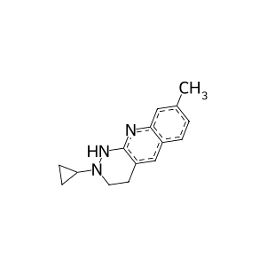 Cc1ccc2cc3c(nc2c1)NN(C1CC1)CC3